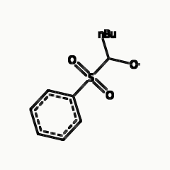 CCCCC([O])S(=O)(=O)c1ccccc1